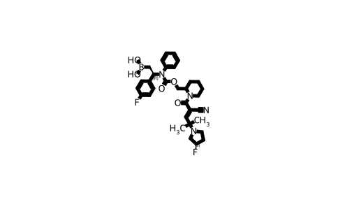 CC(C)(C=C(C#N)C(=O)N1CCCCC1COC(=O)N(c1ccccc1)[C@H](CB(O)O)c1ccc(F)cc1)N1CC[C@H](F)C1